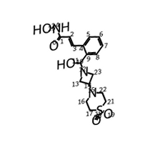 O=C(/C=C/c1ccccc1C(O)N1CC(N2CCS(=O)(=O)CC2)C1)NO